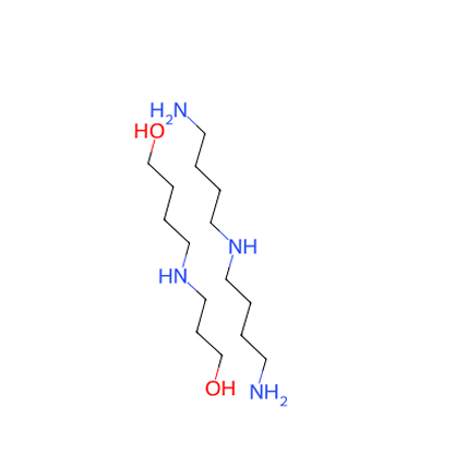 NCCCCNCCCCN.OCCCCNCCCO